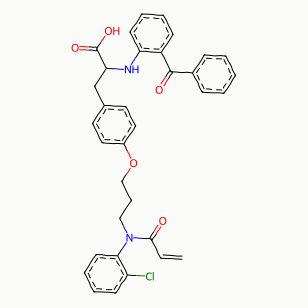 C=CC(=O)N(CCCOc1ccc(CC(Nc2ccccc2C(=O)c2ccccc2)C(=O)O)cc1)c1ccccc1Cl